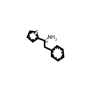 N[C@H](Cc1ccccc1)c1cccs1